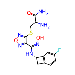 NC(=O)C(N)CSc1nonc1C(=NO)N[C@H]1Cc2ccc(F)cc21